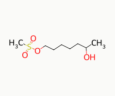 CC(O)CCCCCOS(C)(=O)=O